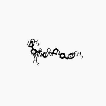 CN1CCN(Cc2ccc(N3CCCC(OC(=O)N4CC[C@@H](NC(=O)c5cc(-c6cnn(C)c6)cnc5N)C4)C3)cc2)CC1